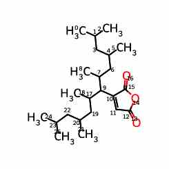 CC(C)CC(C)CC(C)C(C1=CC(=O)OC1=O)C(C)CC(C)CC(C)C